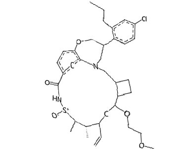 C=CC1CC(OCCOC)C2CCC2CN2CC(c3ccc(Cl)cc3CCC)COc3ccc(cc32)C(=O)N[S+]([O-])C(C)[C@H]1C